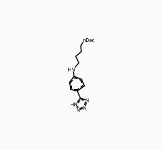 CCCCCCCCCCCCCCNc1ccc(-c2nnn[nH]2)cc1